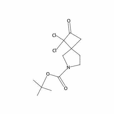 CC(C)(C)OC(=O)N1CCC2(CC(=O)C2(Cl)Cl)C1